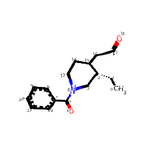 CC[C@@H]1CN(C(=O)c2ccccc2)CCC1CC=O